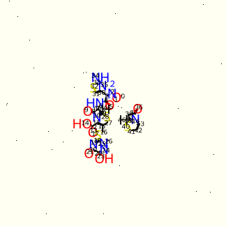 CO/N=C(\C(=O)N[C@@H]1C(=O)N2C(C(=O)O)=C(CSc3nc(=O)c(O)nn3C)CS[C@H]12)c1csc(N)n1.O=C1C[C@H]2SCC=CN12